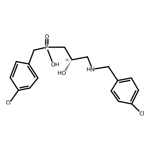 O=P(O)(Cc1ccc(Cl)cc1)C[C@@H](O)CNCc1ccc(Cl)cc1